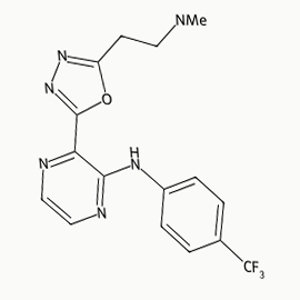 CNCCc1nnc(-c2nccnc2Nc2ccc(C(F)(F)F)cc2)o1